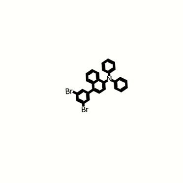 Brc1cc(Br)cc(-c2ccc(N(c3ccccc3)c3ccccc3)c3ccccc23)c1